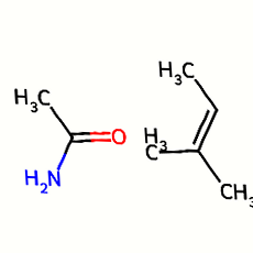 CC(N)=O.CC=C(C)C